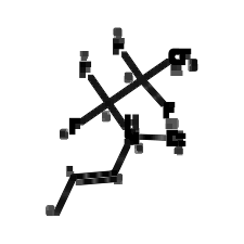 CC=C[SiH](CC)C(F)(F)C(F)(F)C(F)(F)F